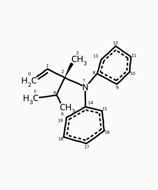 C=C[C@@](C)(C(C)C)N(c1ccccc1)c1ccccc1